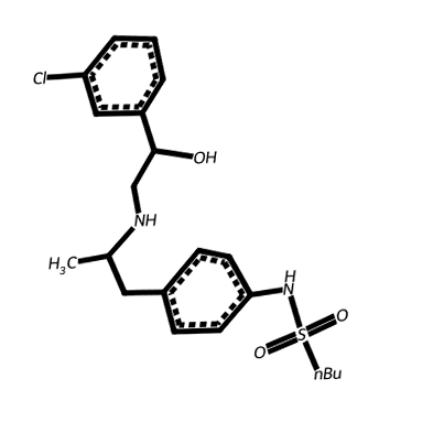 CCCCS(=O)(=O)Nc1ccc(CC(C)NCC(O)c2cccc(Cl)c2)cc1